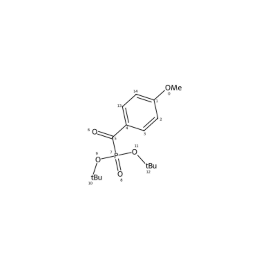 COc1ccc(C(=O)P(=O)(OC(C)(C)C)OC(C)(C)C)cc1